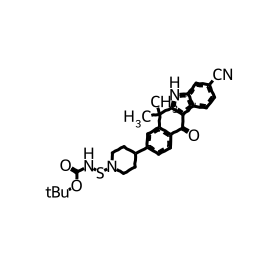 CC(C)(C)OC(=O)NSN1CCC(c2ccc3c(c2)C(C)(C)c2[nH]c4cc(C#N)ccc4c2C3=O)CC1